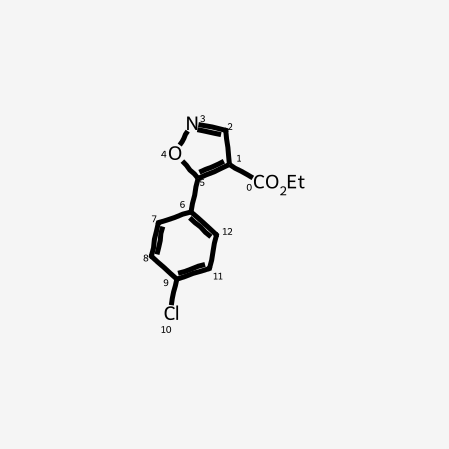 CCOC(=O)c1cnoc1-c1ccc(Cl)cc1